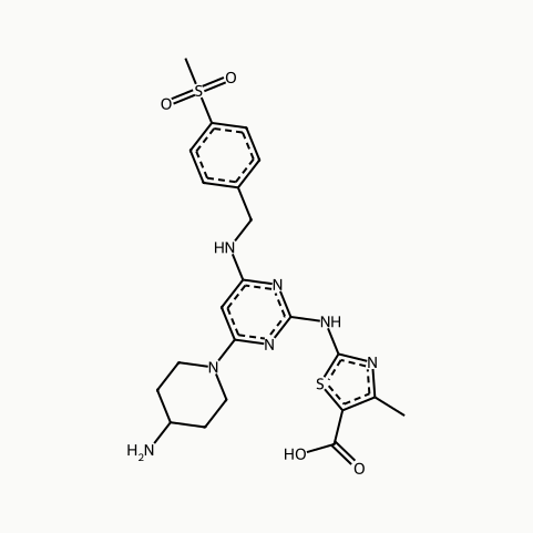 Cc1nc(Nc2nc(NCc3ccc(S(C)(=O)=O)cc3)cc(N3CCC(N)CC3)n2)sc1C(=O)O